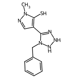 Cn1ncc(C2=NNNN2Cc2ccccc2)c1S